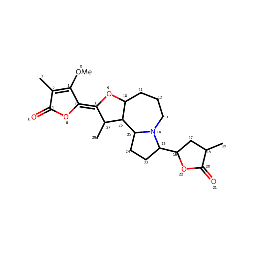 COC1=C(C)C(=O)OC1=C1OC2CCCN3C(C4CC(C)C(=O)O4)CCC3C2C1C